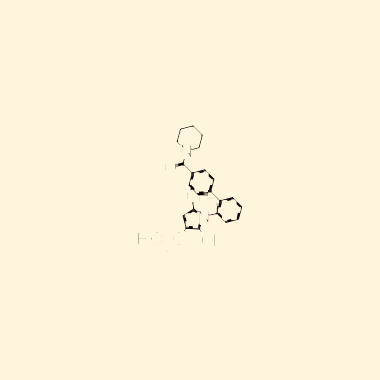 Cc1cc(C(=O)O)c(C)n1-c1ccccc1-c1ccc(C(=O)N2CCCCC2)cc1